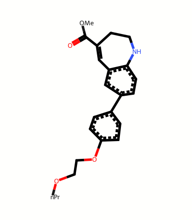 CCCOCCOc1ccc(-c2ccc3c(c2)C=C(C(=O)OC)CCN3)cc1